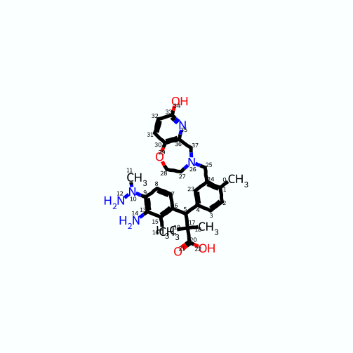 Cc1ccc(C(c2ccc(N(C)N)c(N)c2C)C(C)(C)C(=O)O)cc1CN1CCOc2ccc(O)nc2C1